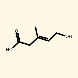 C/C(=C\CO)CC(=O)O